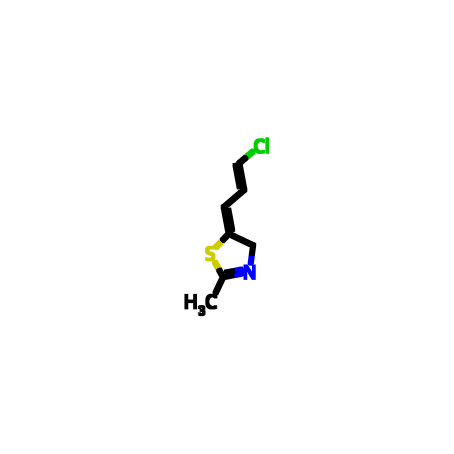 CC1=NC/C(=C\C=C\Cl)S1